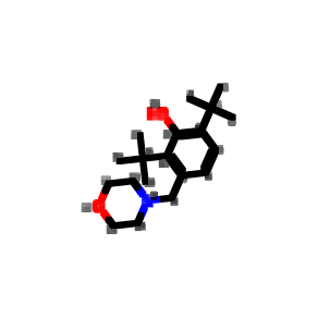 CC(C)(C)c1ccc(CN2CCOCC2)c(C(C)(C)C)c1O